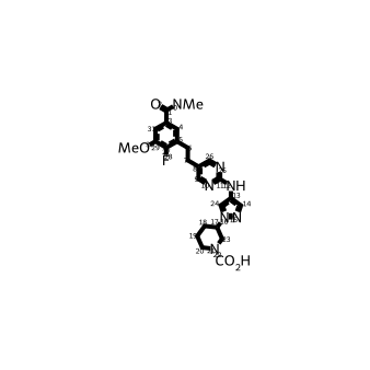 CNC(=O)c1cc(CCc2cnc(Nc3cnn(C4CCCN(C(=O)O)C4)c3)nc2)c(F)c(OC)c1